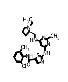 CCN1CCC[C@@H]1CNc1cc(Nc2ncc(C(=O)Nc3c(C)cccc3Cl)s2)nc(C)n1